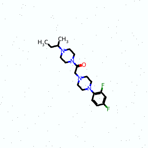 CCC(C)N1CCN(C(=O)CN2CCN(c3ccc(F)cc3F)CC2)CC1